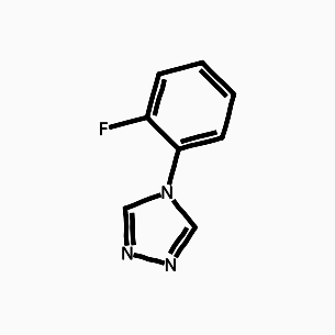 Fc1ccccc1-n1cnnc1